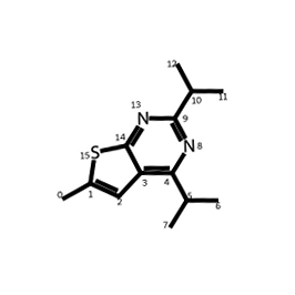 Cc1cc2c(C(C)C)nc(C(C)C)nc2s1